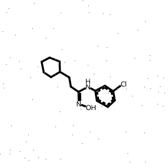 O/N=C(/CCC1CCCCC1)Nc1cccc(Cl)c1